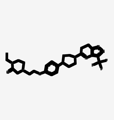 CCN1CCN(CCOc2ccc(C3CCN(C4=Nn5c(nnc5C(F)(F)F)CC4)CC3)cc2)CC1=O